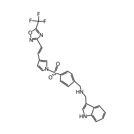 O=S(=O)(c1ccc(CNCc2c[nH]c3ccccc23)cc1)n1ccc(C=Cc2noc(C(F)(F)F)n2)c1